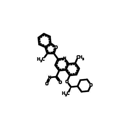 Cc1c(-c2cc(C(=O)N=O)c3c(O[C@H](C)C4CCOCC4)ccc(C)c3n2)oc2ccccc12